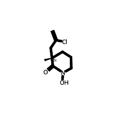 C=C(Cl)C[C@]1(C)CCCN(O)C1=O